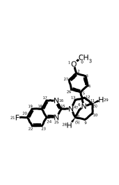 COc1ccc(N2C[C@@H]3CC[C@H]2CCN3c2ncc3cc(F)ccc3n2)cc1